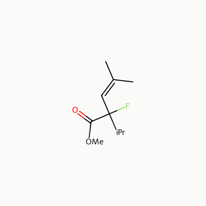 COC(=O)C(F)(C=C(C)C)C(C)C